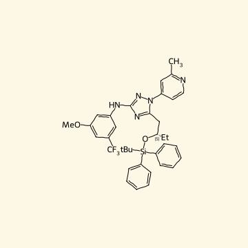 CC[C@@H](Cc1nc(Nc2cc(OC)cc(C(F)(F)F)c2)nn1-c1ccnc(C)c1)O[Si](c1ccccc1)(c1ccccc1)C(C)(C)C